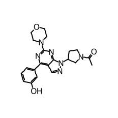 CC(=O)N1CCC(n2ncc3c(-c4cccc(O)c4)nc(N4CCOCC4)nc32)C1